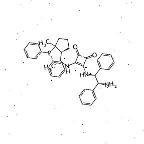 C[C@@H](Nc1c(N[C@@H](c2ccccc2)[C@@H](N)c2ccccc2)c(=O)c1=O)[C@@H]1CCCC1(C)P(c1ccccc1)c1ccccc1